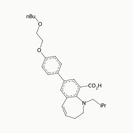 CCCCOCCOc1ccc(-c2cc3c(c(C(=O)O)c2)N(CC(C)C)CCC=C3)cc1